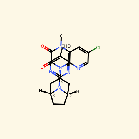 Cn1c(=O)c(=O)n([C@@H]2C[C@H]3CC[C@@H](C2)N3c2ncc(C=O)cn2)c2ncc(Cl)cc21